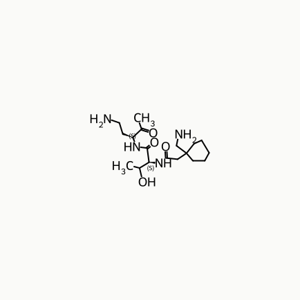 CC(=O)[C@H](CCN)NC(=O)[C@@H](NC(=O)CC1(CN)CCCCC1)C(C)O